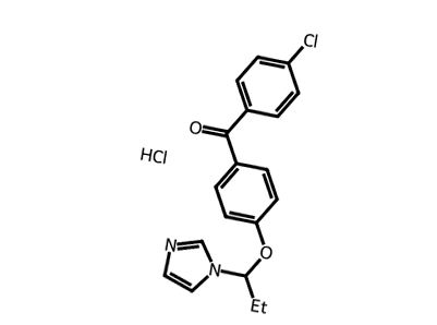 CCC(Oc1ccc(C(=O)c2ccc(Cl)cc2)cc1)n1ccnc1.Cl